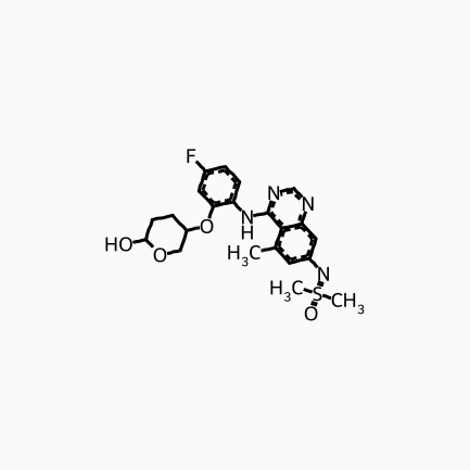 Cc1cc(N=S(C)(C)=O)cc2ncnc(Nc3ccc(F)cc3OC3CCC(O)OC3)c12